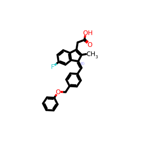 CC1=C(CC(=O)O)c2ccc(F)cc2/C1=C\c1ccc(COc2ccccc2)cc1